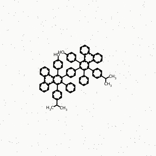 CC(C)c1ccc(-c2c(-c3ccccc3)c(-c3ccc(-c4c(-c5ccccc5)c(-c5ccc(C(C)C)cc5)c5c6ccccc6c6ccccc6c5c4-c4ccc(O)cc4)cc3)c(-c3ccc(O)cc3)c3c4ccccc4c4ccccc4c23)cc1